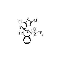 O=S(=O)(Nc1ccccc1NS(=O)(=O)C(F)(F)F)c1cc(Cl)sc1Cl